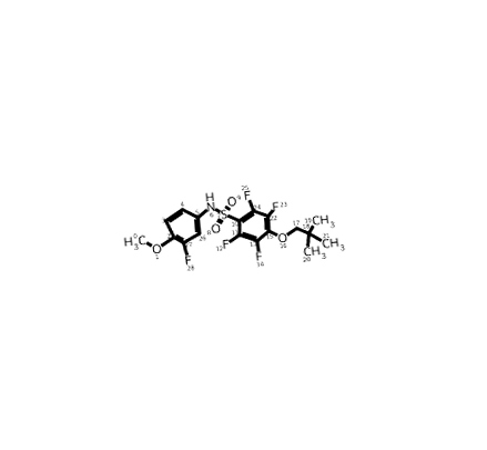 COc1ccc(NS(=O)(=O)c2c(F)c(F)c(OCC(C)(C)C)c(F)c2F)cc1F